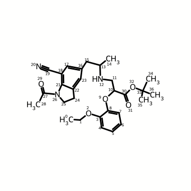 CCOc1ccccc1OC(CNC(C)Cc1cc(C#N)c2c(c1)CCN2C(C)=O)C(=O)OC(C)(C)C